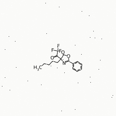 CCCCCC1(C(=O)C(F)(F)F)N=C(c2ccccc2)OC1=O